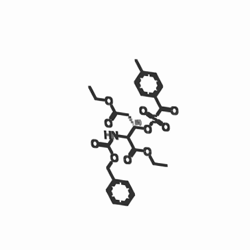 CCOC(=O)C[C@H](OS(=O)(=O)C(=O)c1ccc(C)cc1)C(NC(=O)OCc1ccccc1)C(=O)OCC